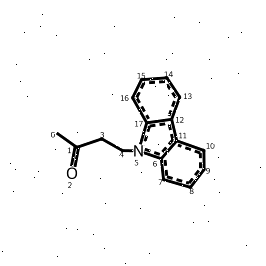 CC(=O)CCn1c2ccccc2c2ccccc21